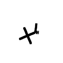 CPC(C)(C)C